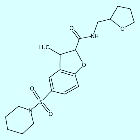 CC1c2cc(S(=O)(=O)N3CCCCC3)ccc2OC1C(=O)NCC1CCCO1